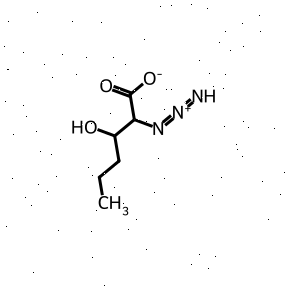 CCCC(O)C(N=[N+]=N)C(=O)[O-]